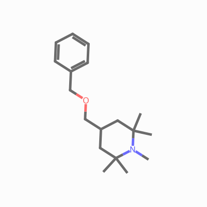 CN1C(C)(C)CC(COCc2ccccc2)CC1(C)C